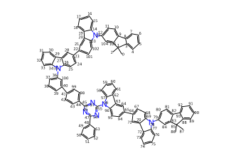 CC1(C)c2ccccc2-c2ccc(-n3c4ccccc4c4cc(-c5ccc6c(c5)c5ccccc5n6-c5cccc(-c6ccc(-c7nc(-c8ccccc8)nc(-n8c9ccccc9c9cc(-c%10ccc%11c(c%10)c%10ccccc%10n%11-c%10ccc%11c(c%10)C(C)(C)c%10ccccc%10-%11)ccc98)n7)cc6)c5)ccc43)cc21